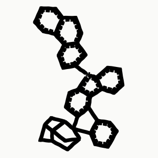 c1ccc2c(c1)-c1c(ccc3c1c1ccccc1n3-c1ccc3c(ccc4ccccc43)c1)C21C2CC3CC(C2)CC1C3